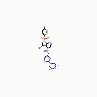 Cc1ccc(S(=O)(=O)n2cc(Br)c3c(NCc4ccnc(N5C[C@@H](C)N[C@@H](C)C5)n4)ccnc32)cc1